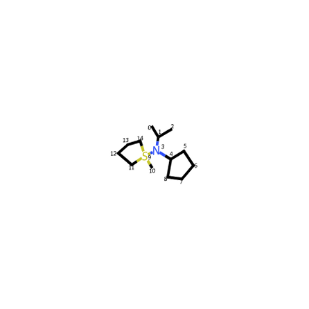 CC(C)N(C1CCCC1)S1(C)CCCC1